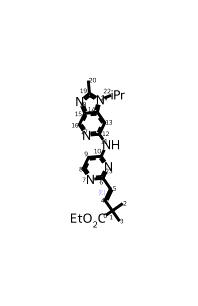 CCOC(=O)C(C)(C)/C=C/c1nccc(Nc2cc3c(cn2)nc(C)n3C(C)C)n1